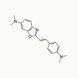 CN(C)c1ccc(/C=C/c2nc3ccc(N(C)C)cc3o2)cc1